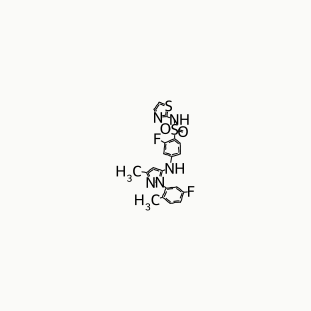 Cc1cc(Nc2ccc(S(=O)(=O)Nc3nccs3)c(F)c2)n(-c2cc(F)ccc2C)n1